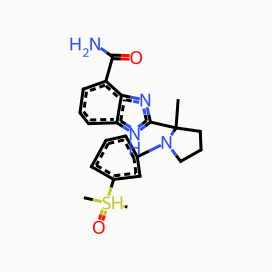 CC1(c2nc3c(C(N)=O)cccc3[nH]2)CCCN1c1cccc([SH](C)(C)=O)c1